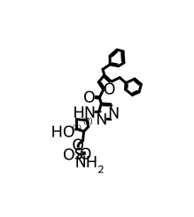 NS(=O)(=O)OCC1C[C@@H](Nc2ncncc2C(=O)c2cc(Cc3ccccc3)c(Cc3ccccc3)o2)C[C@@H]1O